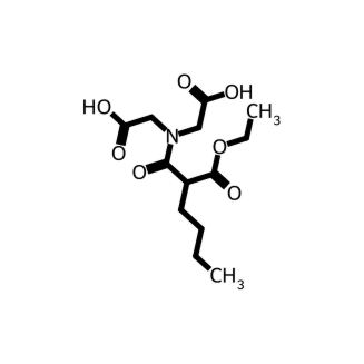 CCCCC(C(=O)OCC)C(=O)N(CC(=O)O)CC(=O)O